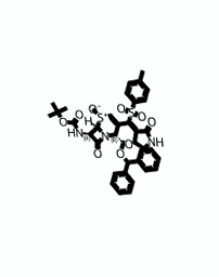 Cc1ccc(S(=O)(=O)C(C2=C[S+]([O-])[C@@H]3[C@H](NC(=O)OC(C)(C)C)C(=O)N3[C@H]2C(=O)OC(c2ccccc2)c2ccccc2)=C2CCNC2=O)cc1